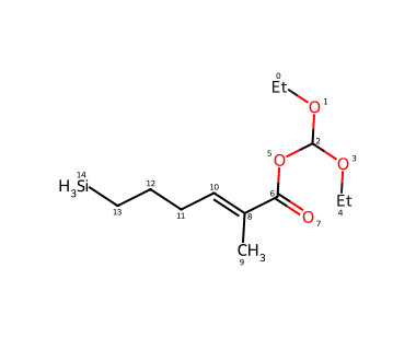 CCOC(OCC)OC(=O)C(C)=CCCC[SiH3]